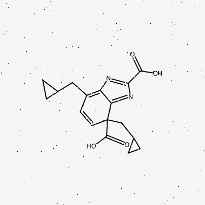 O=C(O)C1=NC2=C(CC3CC3)C=CC(CC3CC3)(C(=O)O)C2=N1